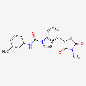 Cc1cccc(NC(=O)n2ccc3c(C4SC(=O)N(C)C4=O)cccc32)c1